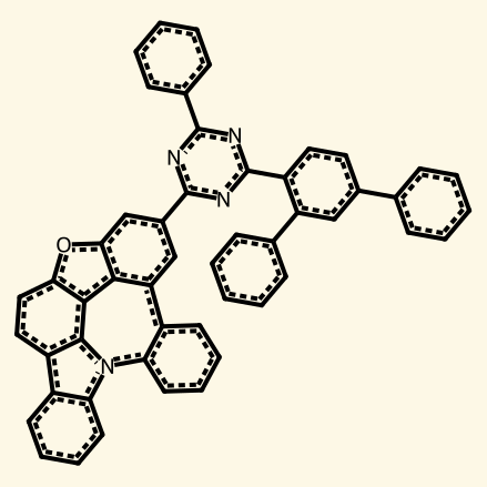 c1ccc(-c2ccc(-c3nc(-c4ccccc4)nc(-c4cc5oc6ccc7c8ccccc8n8c9ccccc9c(c4)c5c6c78)n3)c(-c3ccccc3)c2)cc1